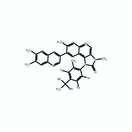 [2H]c1c([2H])c(C(C)(C#N)C(C)C)c([2H])c(C)c1-n1c(=O)n(C)c2cnc3cc(C)c(-c4cnc5cc(C)c(C)cc5c4)cc3c21